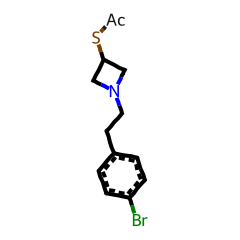 CC(=O)SC1CN(CCc2ccc(Br)cc2)C1